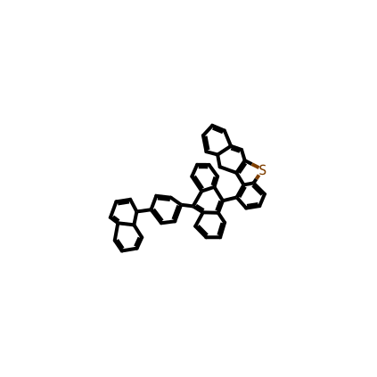 C1=CC2=Cc3sc4cccc(-c5c6ccccc6c(-c6ccc(C7C=CC=C8C=CC=CC87)cc6)c6ccccc56)c4c3CC2C=C1